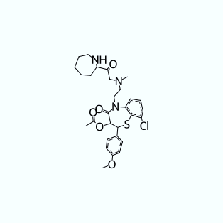 COc1ccc(C2Sc3c(Cl)cccc3N(CCN(C)CC(=O)C3CCCCCN3)C(=O)C2OC(C)=O)cc1